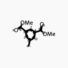 [CH2]c1cc(C(=O)OC)cc(C(=O)OC)c1